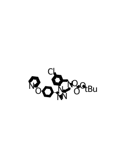 CC(C)(C)OC(=O)ON1Cc2cc(Cl)ccc2-n2c(nnc2[C@H]2CC[C@@H](Oc3ccccn3)CC2)C1